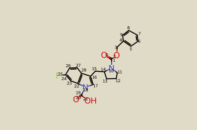 O=C(OCc1ccccc1)N1CCCC1Cc1cn(C(=O)O)c2cc(F)ccc12